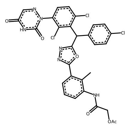 CC(=O)OCC(=O)Nc1cccc(-c2nnc(C(c3ccc(Cl)cc3)c3c(Cl)ccc(-n4ncc(=O)[nH]c4=O)c3Cl)o2)c1C